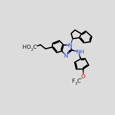 O=C(O)CCc1ccc2c(c1)nc(Nc1ccc(OC(F)(F)F)cc1)n2[C@H]1CCc2ccccc21